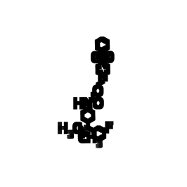 CN(C)C(c1cccc(F)c1)C1CCC(NC(=O)COCCN2CCN(S(=O)(=O)c3ccccc3)CC2)CC1